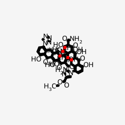 CCOC(=O)c1cn(-c2ccc(O)c3c2CC2CC4([C@]5(N(C)C)C(O)=C(C(N)=O)C(=O)[C@]6(O)C(O)=C7C(=O)c8c(O)ccc(-n9cnnn9)c8C[C@@H]7C[C@@H]65)C(N(C)C)C(O)=C(C(N)=O)C(=O)[C@]4(O)C(O)=C2C3=O)nn1